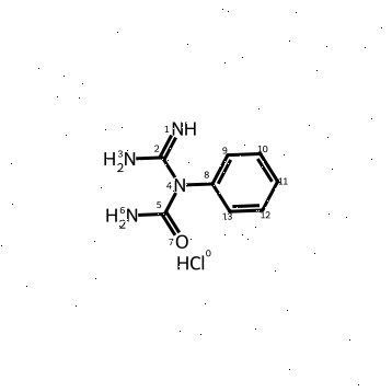 Cl.N=C(N)N(C(N)=O)c1ccccc1